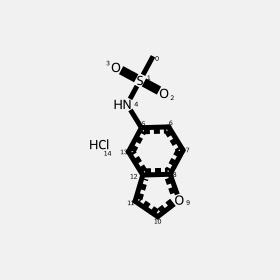 CS(=O)(=O)Nc1ccc2occc2c1.Cl